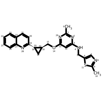 Cc1nc(NCc2cnc(C)s2)cc(OC[C@H]2C[C@@H]2c2ccc3ccccc3n2)n1